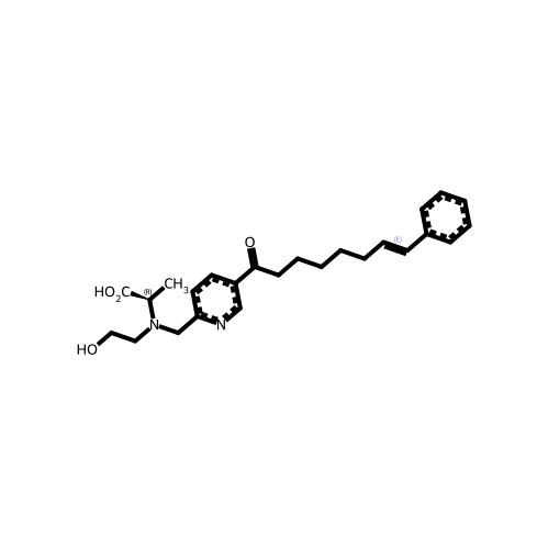 C[C@H](C(=O)O)N(CCO)Cc1ccc(C(=O)CCCCC/C=C/c2ccccc2)cn1